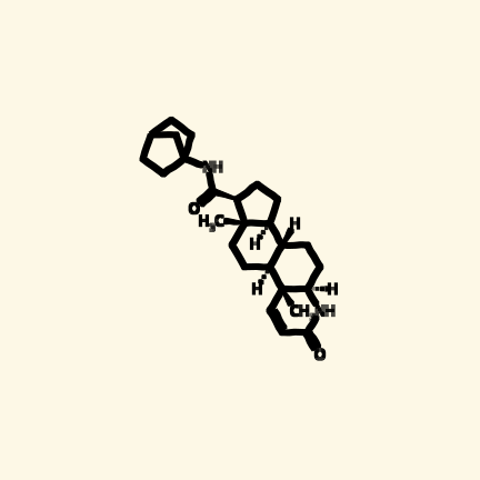 C[C@]12C=CC(=O)N[C@@H]1CC[C@@H]1[C@@H]2CC[C@]2(C)[C@@H](C(=O)NC34CCC(CC3)C4)CC[C@@H]12